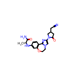 C[C@H](Nc1ccc2c(c1)OCCn1cc(N3CC(CC#N)CC3=O)nc1-2)C(N)=O